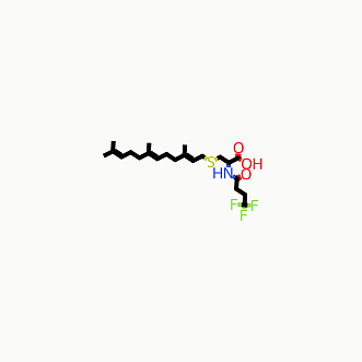 CC(C)=CCC/C(C)=C/CC/C(C)=C/CSCC(NC(=O)CCC(F)(F)F)C(=O)O